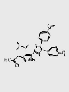 COc1ccc(-c2nc(-c3[nH]cc(CC(=O)O)c3C(C)C(C)C)sc2-c2ccc(OC)cc2)cc1